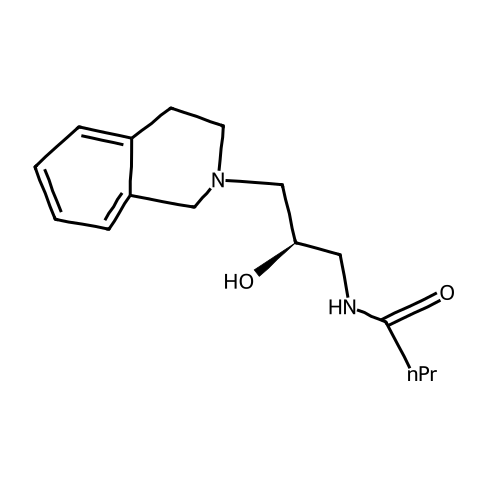 CCCC(=O)NC[C@@H](O)CN1CCc2ccccc2C1